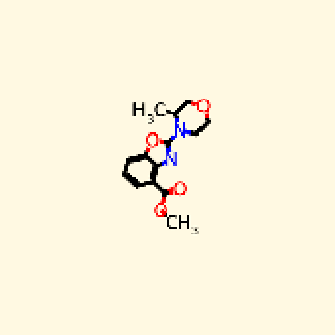 COC(=O)c1cccc2oc(N3CCOC[C@@H]3C)nc12